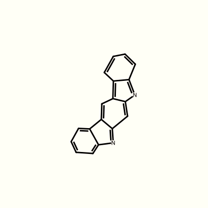 c1ccc2c(c1)N=c1cc3c(cc1-2)=c1ccccc1=N3